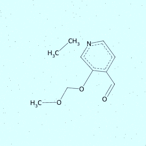 CC.COCOc1cnccc1C=O